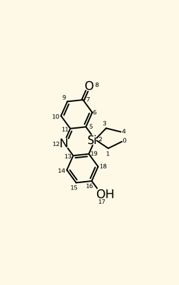 CC[Si]1(CC)C2=CC(=O)C=CC2=Nc2ccc(O)cc21